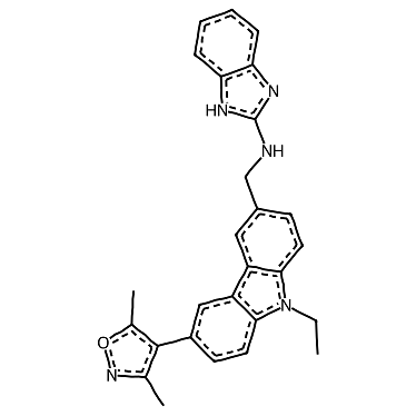 CCn1c2ccc(CNc3nc4ccccc4[nH]3)cc2c2cc(-c3c(C)noc3C)ccc21